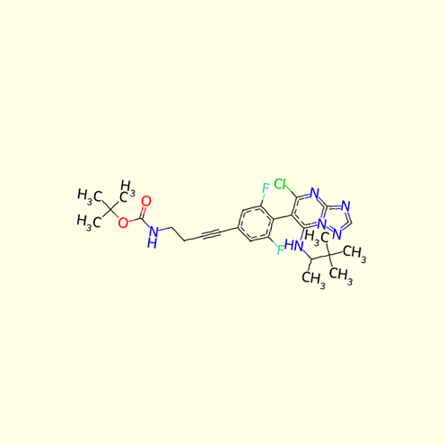 CC(Nc1c(-c2c(F)cc(C#CCCNC(=O)OC(C)(C)C)cc2F)c(Cl)nc2ncnn12)C(C)(C)C